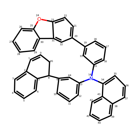 C1=Cc2ccccc2C(c2cccc(N(c3cccc(-c4ccc5oc6ccccc6c5c4)c3)c3cccc4ccccc34)c2)C1